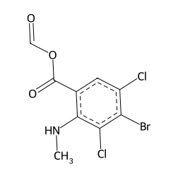 CNc1c(C(=O)OC=O)cc(Cl)c(Br)c1Cl